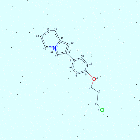 ClCCCOc1ccc(-c2cc3ccccn3c2)cc1